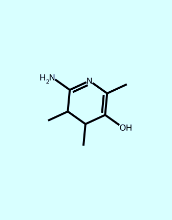 CC1=C(O)C(C)C(C)C(N)=N1